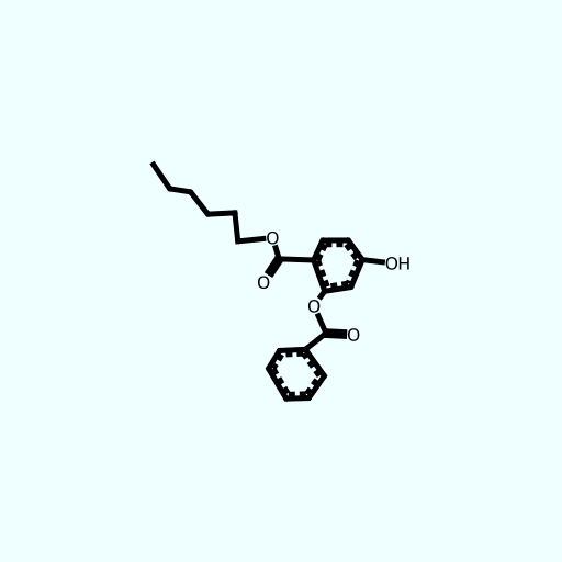 CCCCCCOC(=O)c1ccc(O)cc1OC(=O)c1ccccc1